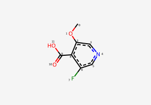 COc1cncc(F)c1C(=O)O